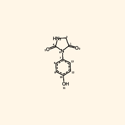 O=C1CNC(=O)N1c1ccc(O)cc1